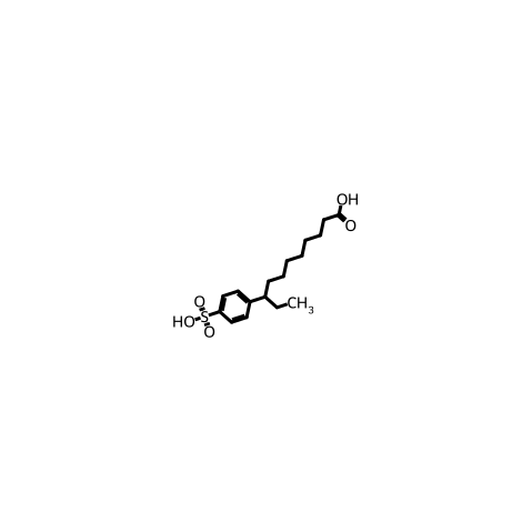 CCC(CCCCCCCC(=O)O)c1ccc(S(=O)(=O)O)cc1